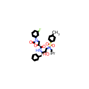 Cc1ccc(S(=O)(=O)N(CC(C)C)C[C@@H](O)[C@H](Cc2ccccc2)NC(=O)[C@@H]2CN(c3cccc(F)c3)C(=O)O2)cc1